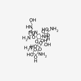 NC[C@@H]1O[C@H](O[C@H]2[C@@H](O)[C@H](O[C@@H]3[C@@H](O)[C@H](NC(=O)[C@@H](O)[C@@H](O)CN)C[C@H](N)[C@H]3O[C@H]3OC(CNCCO)=CC[C@H]3N)O[C@@H]2CO)[C@H](N)[C@@H](O)[C@@H]1O